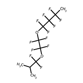 CC(C)C(F)(F)OC(F)(F)C(F)(F)OC(F)(F)C(F)(F)C(C)(F)F